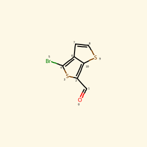 O=Cc1sc(Br)c2ccsc12